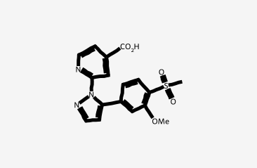 COc1cc(-c2ccnn2-c2cc(C(=O)O)ccn2)ccc1S(C)(=O)=O